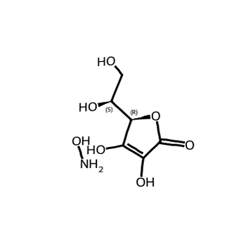 NO.O=C1O[C@H]([C@@H](O)CO)C(O)=C1O